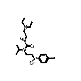 CCN(CC)CCNC(=O)N(CC[S+]([O-])c1ccc(C)cc1)C(C)C